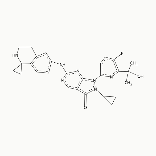 CC(C)(O)c1nc(-n2c3nc(Nc4ccc5c(c4)CCNC54CC4)ncc3c(=O)n2C2CC2)ccc1F